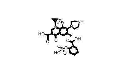 COc1c(N2CCNCC2)c(F)cc2c(=O)c(C(=O)O)cn(C3CC3)c12.O=C(O)c1ccccc1OS(=O)(=O)O